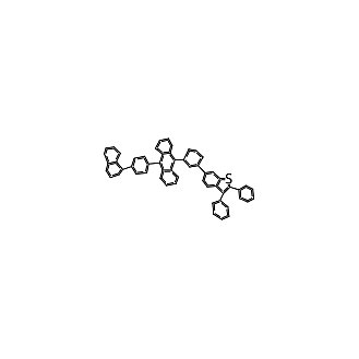 c1ccc(-c2sc3cc(-c4cccc(-c5c6ccccc6c(-c6ccc(-c7cccc8ccccc78)cc6)c6ccccc56)c4)ccc3c2-c2ccccc2)cc1